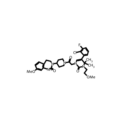 COCCN1C(=O)N(CC(=O)N2CCC(N3CCc4ccc(OC)cc4NC3=O)CC2)C=C(c2cccc(F)c2Cl)C1(C)C